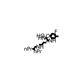 CCCC(CCC)CNCCCC[C@@H](Nc1ccc(F)c(C)c1)C(=O)NO